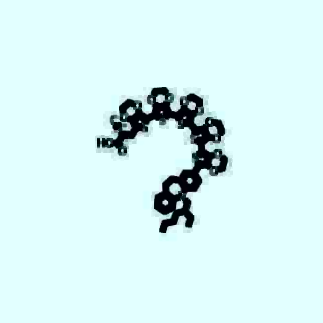 [C-]#[N+]/C(=C\c1sc(-c2sc(-c3sc(-c4sc(-c5sc(-c6ccc7c(c6)CCc6ccccc6N7CC(CC)CCCC)c6c5OCCO6)c5c4OCCO5)c4c3OCCO4)c3c2OCCO3)c2c1OCCO2)C(=O)O